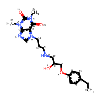 CCc1ccc(OCC(O)CNCCCn2cnc3c2c(=O)n(C)c(=O)n3C)cc1